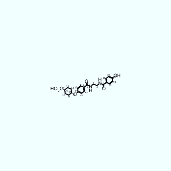 O=C(NCCNC(=O)c1ccc(O[C@H]2CC[C@@H](C(=O)O)CC2)cc1)c1ccc(O)cc1